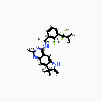 C=C1Nc2cc3c(N[C@H](C)c4cccc(C(F)(F)C(C)C)c4F)nc(C)nc3cc2C1(C)C